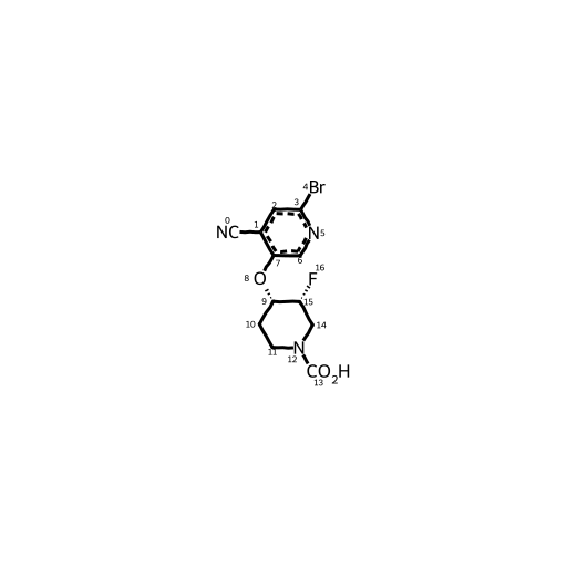 N#Cc1cc(Br)ncc1O[C@H]1CCN(C(=O)O)C[C@H]1F